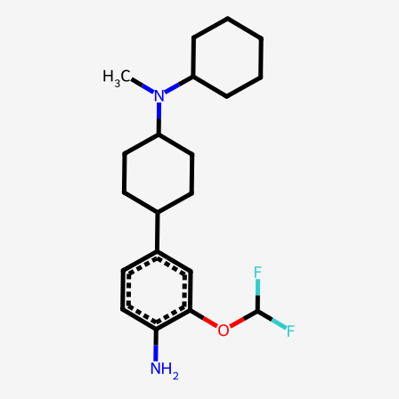 CN(C1CCCCC1)C1CCC(c2ccc(N)c(OC(F)F)c2)CC1